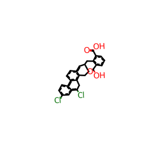 O=C(O)c1cccc(C(=O)O)c1CC1C=c2ccc3c(c2CC1)CC(Cl)=c1cc(Cl)ccc1=3